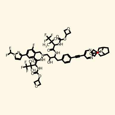 CC(C)(C(NC(=O)OC1COC1)C(=O)NC(Cc1ccc(C#Cc2cnc(N3CC4CCC(C3)N4C3COC3)nc2)cc1)C(O)CN(Cc1c(F)cc(-c2ccn(C(F)F)n2)cc1F)NC(=O)C(NC(=O)OC1COC1)C(C)(C)C(F)(F)F)C(F)(F)F